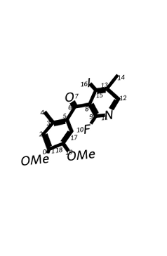 COc1cc(C)c(C(=O)c2c(F)ncc(C)c2I)cc1OC